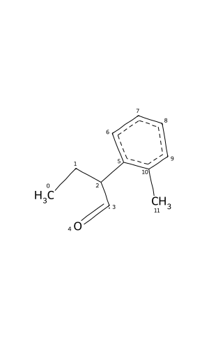 CCC([C]=O)c1ccccc1C